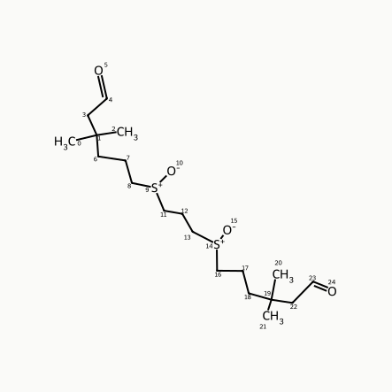 CC(C)(CC=O)CCC[S+]([O-])CCC[S+]([O-])CCCC(C)(C)CC=O